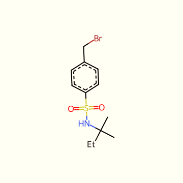 CCC(C)(C)NS(=O)(=O)c1ccc(CBr)cc1